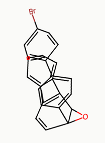 Brc1ccc(-c2ccc(C34C=CC5=C(c6ccccc65)C3O4)cc2)cc1